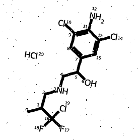 CC(CNCC(O)c1cc(Cl)c(N)c(Cl)c1)C(F)(F)Cl.Cl